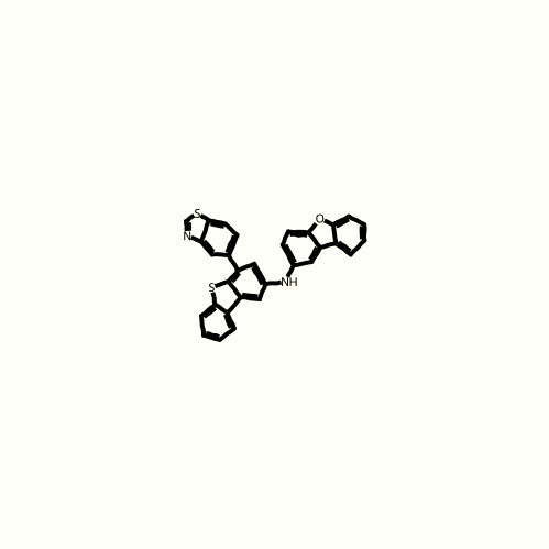 c1ccc2c(c1)oc1ccc(Nc3cc(-c4ccc5scnc5c4)c4sc5ccccc5c4c3)cc12